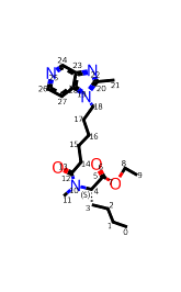 CCCC[C@@H](C(=O)OCC)N(C)C(=O)CCCCCn1c(C)nc2cnccc21